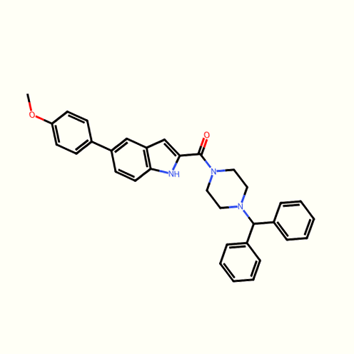 COc1ccc(-c2ccc3[nH]c(C(=O)N4CCN(C(c5ccccc5)c5ccccc5)CC4)cc3c2)cc1